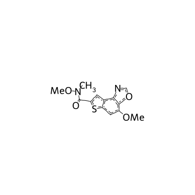 COc1cc2sc(C(=O)N(C)OC)cc2c2ncoc12